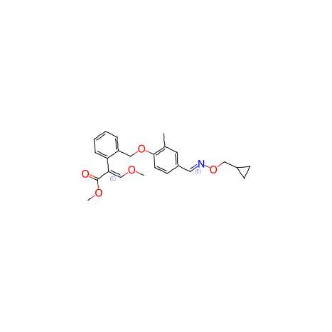 CO/C=C(/C(=O)OC)c1ccccc1COc1ccc(/C=N/OCC2CC2)cc1C